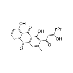 CCC/C(O)=C/C(=O)c1c(C)cc2c(c1O)C(=O)c1c(O)cccc1C2=O